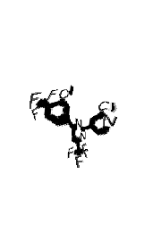 CCOc1cc(-c2cc(C(F)(F)F)nc(-c3ccnc(Cl)c3)n2)ccc1C(F)(F)F